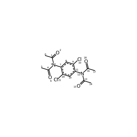 CC(=O)N(C(C)=O)c1cc(Cl)c(N(C(C)=O)C(C)=O)cc1Cl